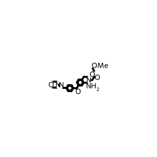 COCCOC(=O)CN1CCc2ccc(C(=O)c3ccc(C=NN4CCOCC4)cc3)cc2C1N